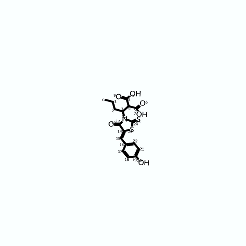 CCCC(C(C(=O)O)C(=O)O)N1C(=O)C(=Cc2ccc(O)cc2)SC1=S